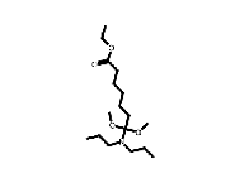 CCCN(CCC)C(CCCCCC(=O)OCC)(OC)OC